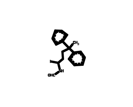 CC(CCC(I)NC=O)(c1ccccc1)c1ccccc1